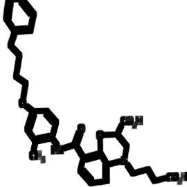 Cc1cc(OCCCCc2ccccc2)ccc1NC(=O)c1cccc2c1OC(C(=O)O)CN2CCCC(=O)O